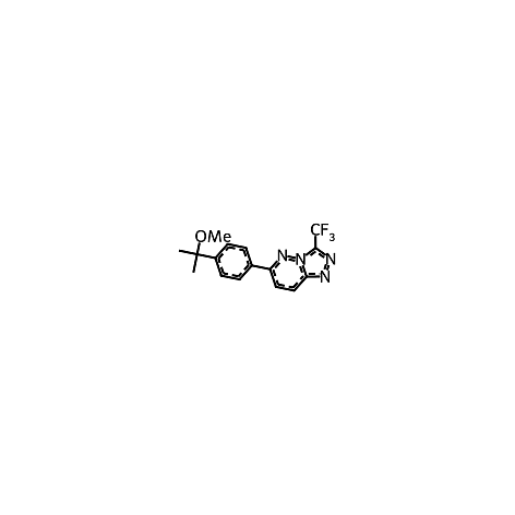 COC(C)(C)c1ccc(-c2ccc3nnc(C(F)(F)F)n3n2)cc1